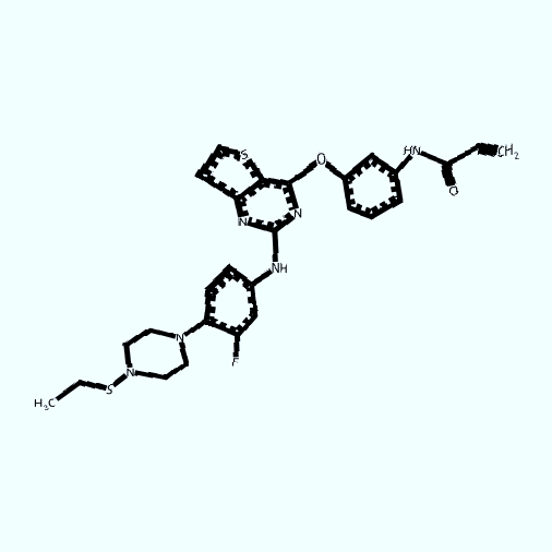 C=CC(=O)Nc1cccc(Oc2nc(Nc3ccc(N4CCN(SCC)CC4)c(F)c3)nc3ccsc23)c1